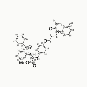 C=C(C)C(=O)N(CCCOc1ccc(C[C@H](Nc2ccccc2C(=O)c2ccccc2)C(=O)OC)cc1)c1cccc(C)c1